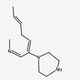 C/C=C/C/C=C(\C=N/C)N1CCNCC1